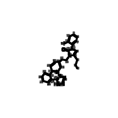 CCCc1cn(-c2ccccc2F)c(=O)n1CCc1ccc(-c2ccccc2-c2nnn[nH]2)nc1